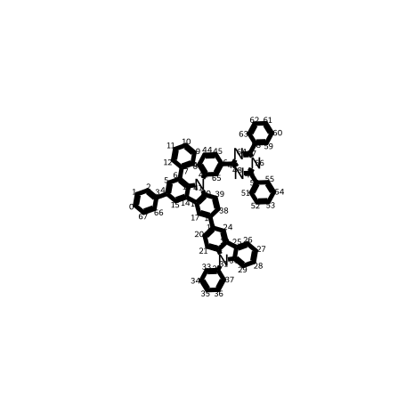 c1ccc(-c2cc(-c3ccccc3)c3c(c2)c2cc(-c4ccc5c(c4)c4ccccc4n5-c4ccccc4)ccc2n3-c2cccc(-c3nc(-c4ccccc4)nc(-c4ccccc4)n3)c2)cc1